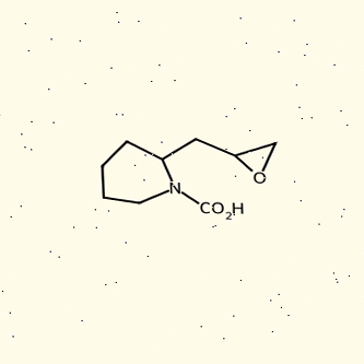 O=C(O)N1CCCCC1CC1CO1